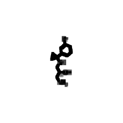 NC[C@H](O)CNC1(c2cccc(Br)c2)CC1